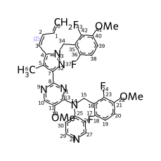 C=C/C=C\c1c(C)c(-c2ncc(OC)c(N(Cc3c(F)ccc(OC)c3F)c3ccncc3)n2)nn1Cc1c(F)ccc(OC)c1F